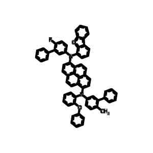 Cc1ccc(N(c2ccccc2Oc2ccccc2)c2ccc3ccc4c(N(c5ccc(F)c(-c6ccccc6)c5)c5cccc6c5oc5ccccc56)ccc5ccc2c3c54)cc1-c1ccccc1